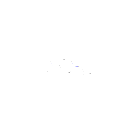 CC(O)CN1CCC(N(C(=O)O)C(C)(C)C)CC1